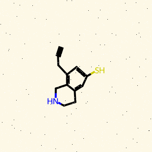 C#CCc1cc(S)cc2c1CNCC2